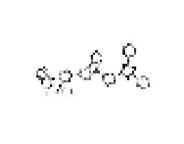 CC1(C)c2cc(-c3ccc4c(c3)c3ccccc3n4-c3cccc(-c4nc(-c5ccccc5)nc(-c5ccccc5)n4)c3)ccc2-c2c1ccc1ncsc21